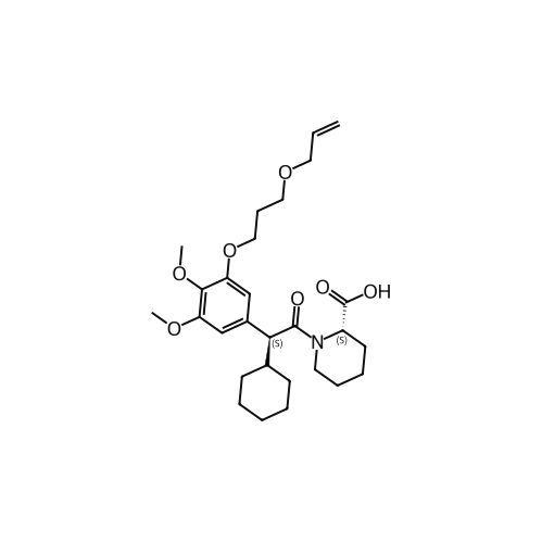 C=CCOCCCOc1cc([C@@H](C(=O)N2CCCC[C@H]2C(=O)O)C2CCCCC2)cc(OC)c1OC